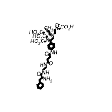 CCN(CCN(CCN(C)CC(=O)O)CC(c1ccc(NC(=O)CCC(=O)NCCNC(=O)C(N)Cc2ccccc2)cc1)N(CC(=O)O)CC(=O)O)CC(=O)O